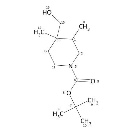 CC1CN(C(=O)OC(C)(C)C)CCC1(C)CO